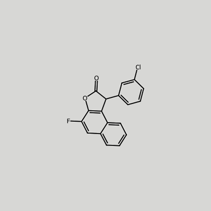 O=C1Oc2c(F)cc3ccccc3c2C1c1cccc(Cl)c1